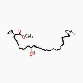 CCCCC/C=C\CCC/C=C/[C@@H](O)C/C=C\CCC(C(=O)OC)C1CC1